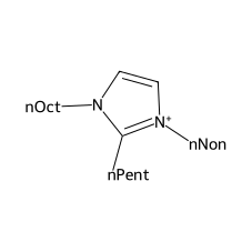 CCCCCCCCC[n+]1ccn(CCCCCCCC)c1CCCCC